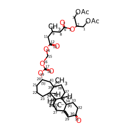 CC(=O)OCC(COC(C)=O)OC(=O)CC(C)CC(=O)OCOC(=O)O[C@H]1CCC[C@H]2[C@@H]3CCC4=CC(=O)CC[C@]4(C)[C@H]3CC[C@]2(C)C1